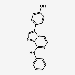 Oc1ccc(-c2cnc3c(Nc4ccccc4)nccn23)cc1